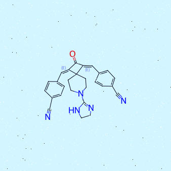 N#Cc1ccc(/C=C2/C(=O)/C(=C/c3ccc(C#N)cc3)C23CCN(C2=NCCN2)CC3)cc1